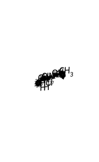 Cc1ccccc1OCC(O)CNCCNC(=O)NC(=O)c1ccccc1.Cl